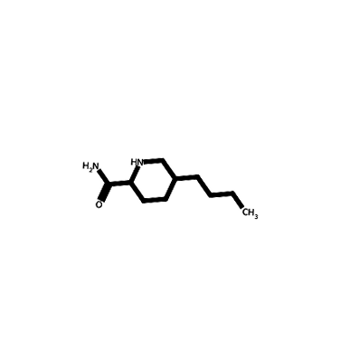 CCCCC1CCC(C(N)=O)NC1